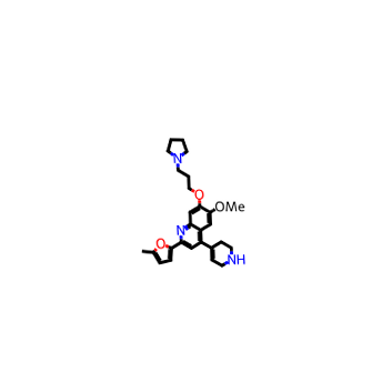 COc1cc2c(C3=CCNCC3)cc(-c3ccc(C)o3)nc2cc1OCCCN1CCCC1